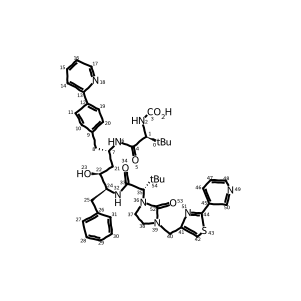 CC(C)(C)[C@H](NC(=O)O)C(=O)N[C@@H](Cc1ccc(-c2ccccn2)cc1)C[C@H](O)[C@H](Cc1ccccc1)NC(=O)[C@@H](N1CCN(Cc2csc(-c3cccnc3)n2)C1=O)C(C)(C)C